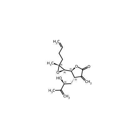 C=CCC[C@@]1(C)O[C@@H]1[C@H]1OC(=O)C(=C)[C@@H]1C[C@H](O)C(=C)C